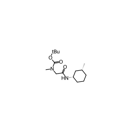 C[C@@H]1CCC[C@H](NC(=O)CN(C)C(=O)OC(C)(C)C)C1